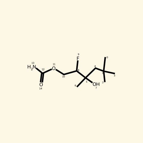 CC(C)(C)CC(C)(O)C(F)COC(N)=O